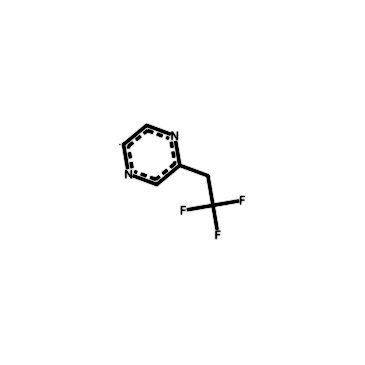 FC(F)(F)Cc1cn[c]cn1